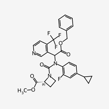 COC(=O)[C@H]1CCN1C(=O)N(c1ccc(C2CC2)cc1F)C(C(=O)OCc1ccccc1)c1cnccc1C(F)(F)F